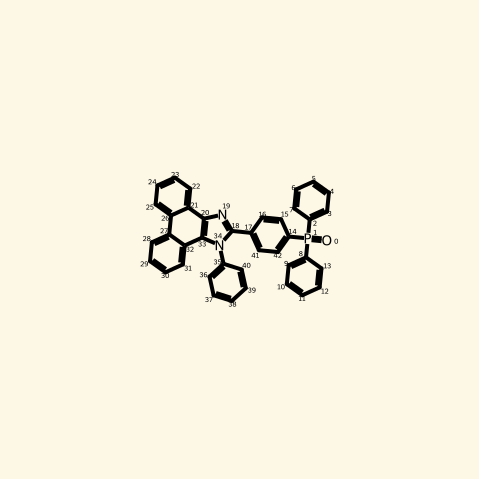 O=P(c1ccccc1)(c1ccccc1)c1ccc(-c2nc3c4ccccc4c4ccccc4c3n2-c2ccccc2)cc1